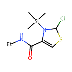 CCNC(=O)C1=CSC(Cl)N1[Si](C)(C)C